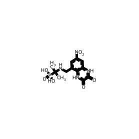 CC(C)(NCc1cc([N+](=O)[O-])cc2[nH]c(=O)c(=O)[nH]c12)P(=O)(O)O